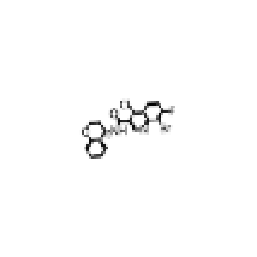 O=C(N[C@H]1CCOc2ccccc21)c1cnc2c(Br)c(F)ccc2c1Cl